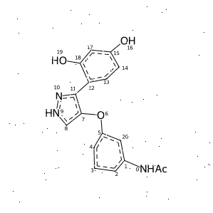 CC(=O)Nc1cccc(Oc2c[nH]nc2-c2ccc(O)cc2O)c1